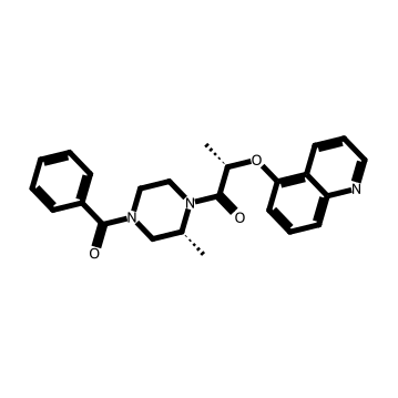 C[C@H](Oc1cccc2ncccc12)C(=O)N1CCN(C(=O)c2ccccc2)C[C@H]1C